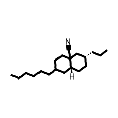 CCCCCCC1CCC2(C#N)C[C@H](CCC)CC[C@@H]2C1